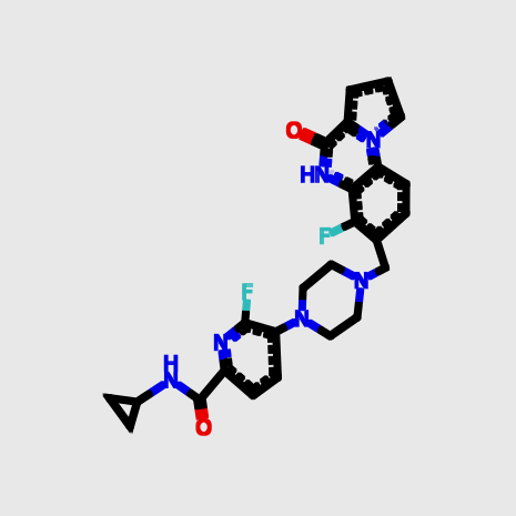 O=C(NC1CC1)c1ccc(N2CCN(Cc3ccc4c([nH]c(=O)c5cccn54)c3F)CC2)c(F)n1